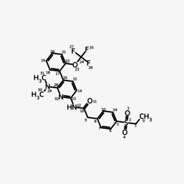 CCS(=O)(=O)c1ccc(CC(=O)Nc2ccc(-c3ccccc3OC(F)(F)F)c(N(C)C)n2)cc1